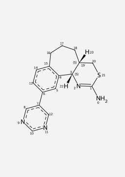 NC1=N[C@@H]2c3cc(-c4cncnc4)ccc3CCC[C@@H]2CS1